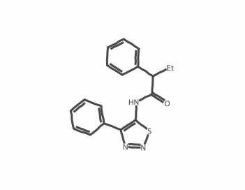 CCC(C(=O)Nc1snnc1-c1ccccc1)c1ccccc1